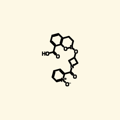 O=C(O)c1cccc2c1OB(OC1CN(C(=O)c3cccc[n+]3[O-])C1)CC2